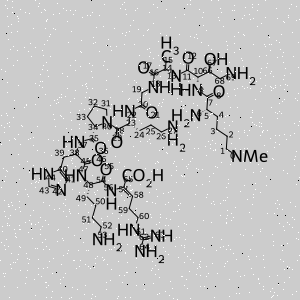 CNCCCC[C@H](N)C(=O)N[C@H](C(=O)NC(C)C(=O)NCC(=O)N[C@H](CCCN)C(=O)N1CCC[C@H]1C(=O)NC(Cc1cnc[nH]1)C(=O)N[C@@H](CCCCN)C(=O)N/C(=C\CCNC(=N)N)C(=O)O)[C@@H](O)CN